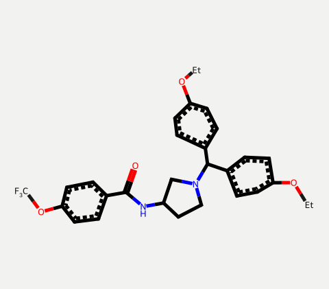 CCOc1ccc(C(c2ccc(OCC)cc2)N2CCC(NC(=O)c3ccc(OC(F)(F)F)cc3)C2)cc1